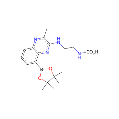 Cc1nc2cccc(B3OC(C)(C)C(C)(C)O3)c2nc1NCCNC(=O)O